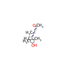 CC(=O)/C=C/C=C(C)/C=C/C1=C(C)CC(O)CC1(C)C